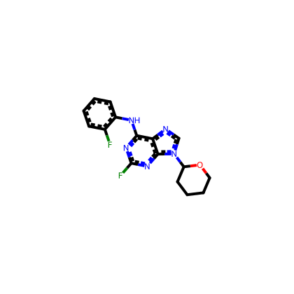 Fc1nc(Nc2ccccc2F)c2ncn(C3CCCCO3)c2n1